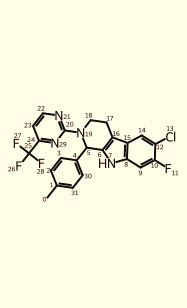 Cc1ccc(C2c3[nH]c4cc(F)c(Cl)cc4c3CCN2c2nccc(C(F)(F)F)n2)cc1